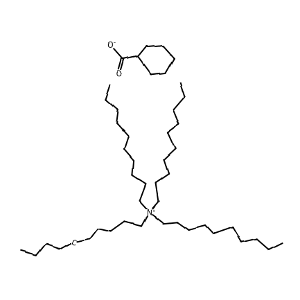 CCCCCCCCCC[N+](CCCCCCCCCC)(CCCCCCCCCC)CCCCCCCCCC.O=C([O-])C1CCCCC1